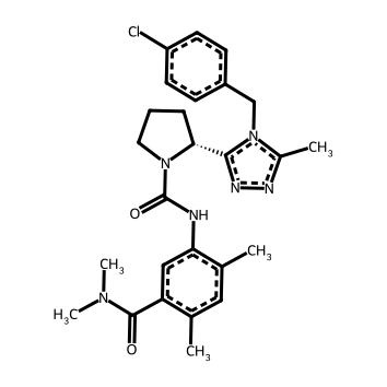 Cc1cc(C)c(C(=O)N(C)C)cc1NC(=O)N1CCC[C@@H]1c1nnc(C)n1Cc1ccc(Cl)cc1